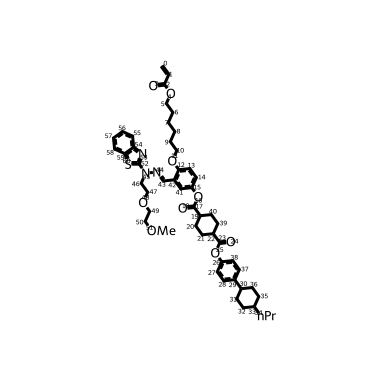 C=CC(=O)OCCCCCCOc1ccc(OC(=O)C2CCC(C(=O)Oc3ccc(C4CCC(CCC)CC4)cc3)CC2)cc1/C=N/N(CCOCCOC)c1nc2ccccc2s1